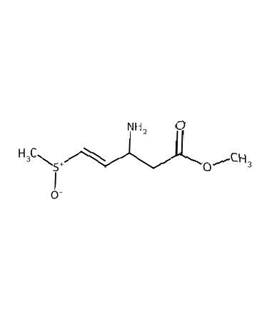 COC(=O)CC(N)/C=C/[S+](C)[O-]